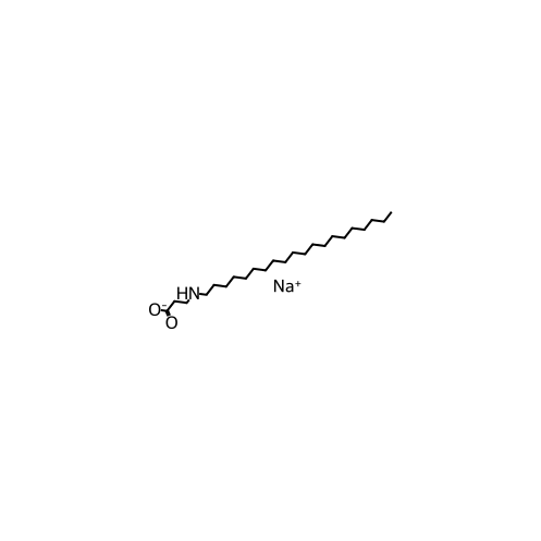 CCCCCCCCCCCCCCCCCCCCNCCC(=O)[O-].[Na+]